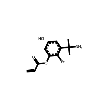 C=CC(=O)Oc1cccc(C(C)(C)N)c1CC.Cl